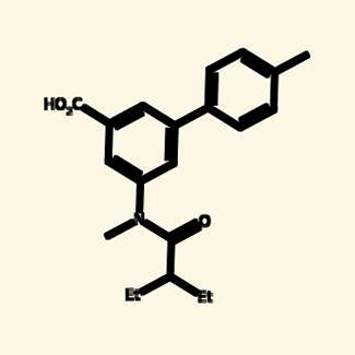 CCC(CC)C(=O)N(C)c1cc(C(=O)O)cc(-c2ccc(C)cc2)c1